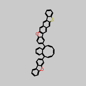 c1cccc(-c2ccc3oc4cc5cc6c(cc5cc4c3c2)sc2ccccc26)c2ccccc2c(-c2ccc3c(c2)oc2ccccc23)cc1